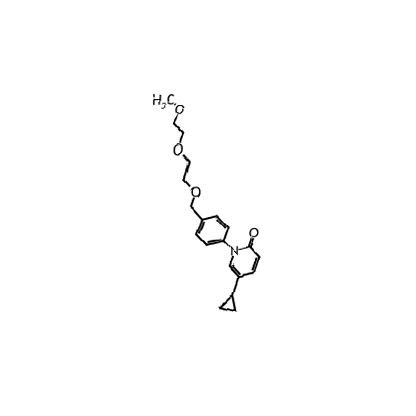 COCCOCCOCc1ccc(-n2cc(C3CC3)ccc2=O)cc1